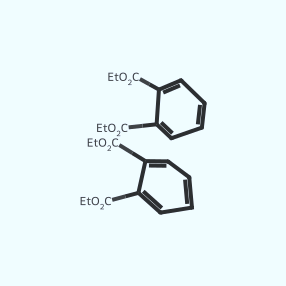 CCOC(=O)c1ccccc1C(=O)OCC.CCOC(=O)c1ccccc1C(=O)OCC